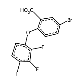 O=C(O)c1cc(Br)ccc1Oc1ccc(I)c(F)c1F